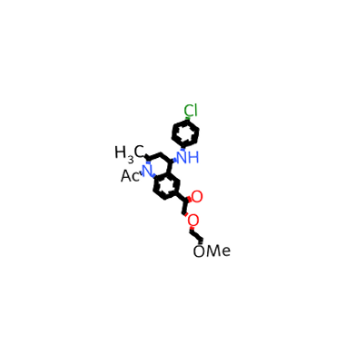 COCCOCC(=O)c1ccc2c(c1)C(Nc1ccc(Cl)cc1)CC(C)N2C(C)=O